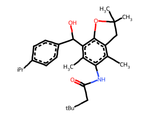 Cc1c2c(c(C(O)c3ccc(C(C)C)cc3)c(C)c1NC(=O)CC(C)(C)C)OC(C)(C)C2